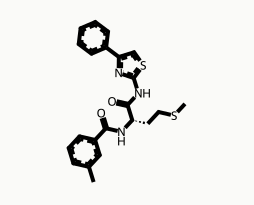 CSCC[C@H](NC(=O)c1cccc(C)c1)C(=O)Nc1nc(-c2ccccc2)cs1